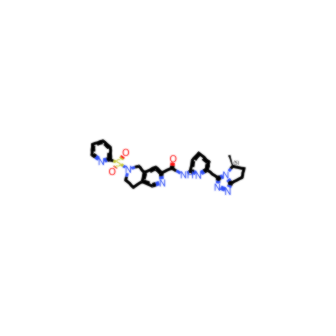 C[C@H]1CCc2nnc(-c3cccc(NC(=O)c4cc5c(cn4)CCN(S(=O)(=O)c4ccccn4)C5)n3)n21